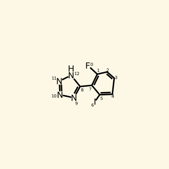 Fc1cccc(I)c1-c1nnn[nH]1